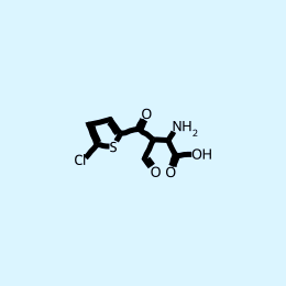 NC(C(=O)O)C(C=O)C(=O)c1ccc(Cl)s1